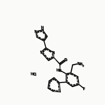 Cl.NCc1cc(F)cc(-c2ccccc2)c1NC(=O)c1csc(-c2cn[nH]c2)n1